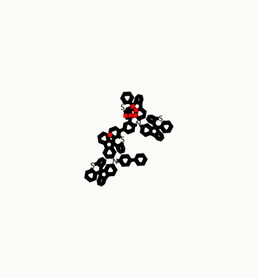 c1ccc(-c2ccc(N(c3ccc4c(c3)C3(c5ccccc5Sc5ccccc53)c3ccccc3-4)c3ccc4c(c3)C3(c5ccccc5Sc5c(-c6ccc(N(c7ccc8c(c7)C7(c9ccccc9Sc9ccccc97)c7ccccc7-8)c7ccc8c(c7)C7(c9ccccc9Sc9ccccc97)c7ccccc7-8)c(-c7ccccc7)c6)cccc53)c3ccccc3-4)cc2)cc1